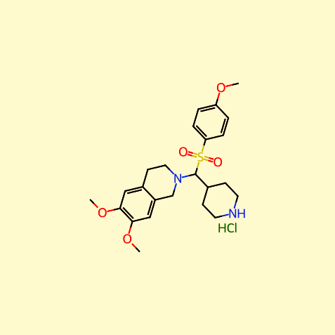 COc1ccc(S(=O)(=O)C(C2CCNCC2)N2CCc3cc(OC)c(OC)cc3C2)cc1.Cl